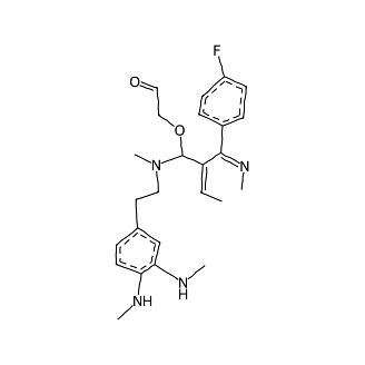 C/C=C(\C(=N/C)c1ccc(F)cc1)C(OCC=O)N(C)CCc1ccc(NC)c(NC)c1